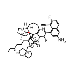 C#Cc1c(F)ccc2cc(N)cc(-c3nc4c5c(nc(OC[C@@]67CCCN6C[C@H](F)C7)nc5c3F)N3C[C@H]5CC[C@@H]([C@H]3CCC4)N5Cc3oc(=O)oc3CCCCCC)c12